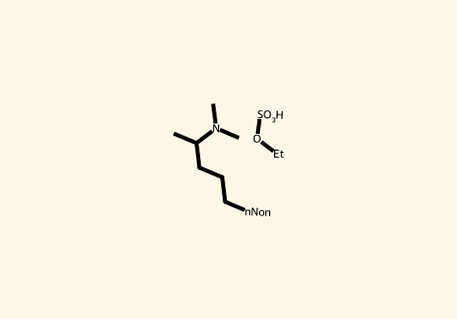 CCCCCCCCCCCCC(C)N(C)C.CCOS(=O)(=O)O